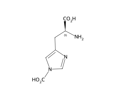 N[C@@H](Cc1cn(C(=O)O)cn1)C(=O)O